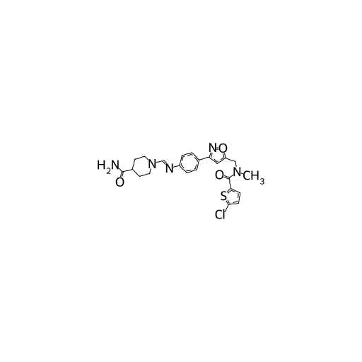 CN(Cc1cc(-c2ccc(N=CN3CCC(C(N)=O)CC3)cc2)no1)C(=O)c1ccc(Cl)s1